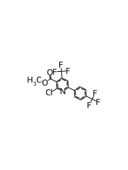 COC(=O)c1c(C(F)(F)F)cc(-c2ccc(C(F)(F)F)cc2)nc1Cl